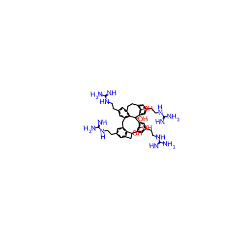 N=C(N)NCCc1cc2c3c(c1)CC3(O)c1cc(CCNC(=N)N)cc(c1O)C1(O)c3cc(CCNC(=N)N)cc(c3O)CCc3cc(CCNC(=N)N)cc(c31)C2